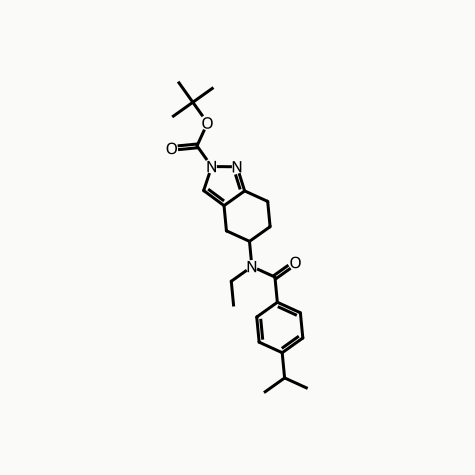 CCN(C(=O)c1ccc(C(C)C)cc1)C1CCc2nn(C(=O)OC(C)(C)C)cc2C1